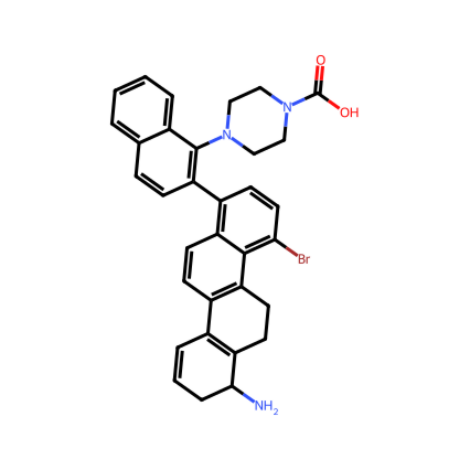 NC1CC=CC2=C1CCc1c2ccc2c(-c3ccc4ccccc4c3N3CCN(C(=O)O)CC3)ccc(Br)c12